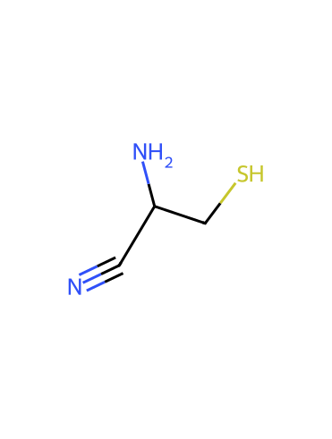 N#CC(N)CS